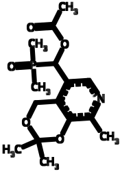 CC(=O)OC(c1cnc(C)c2c1COC(C)(C)O2)P(C)(C)=O